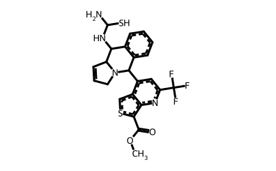 COC(=O)c1scc2c(C3c4ccccc4C(NC(N)S)C4C=CCN34)cc(C(F)(F)F)nc12